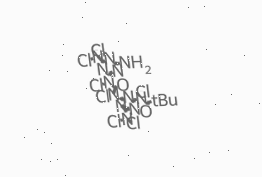 CC(C)(C)C(=O)N(Cl)c1nc(N(Cl)Cl)nc(N(Cl)C(=O)N(Cl)c2nc(N)nc(N(Cl)Cl)n2)n1